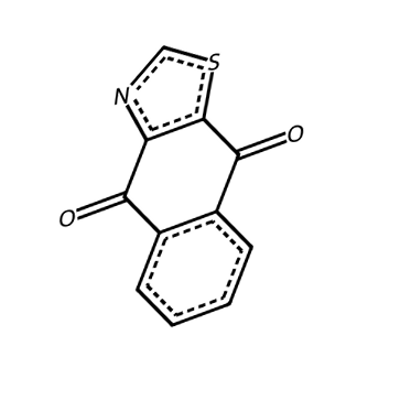 O=C1c2ccccc2C(=O)c2scnc21